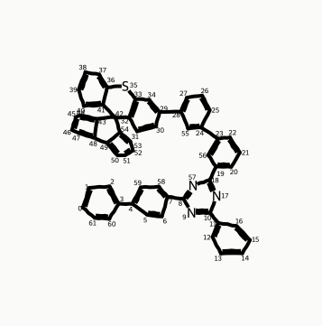 c1ccc(-c2ccc(-c3nc(-c4ccccc4)nc(-c4cccc(-c5cccc(-c6ccc7c(c6)Sc6ccccc6C76c7ccccc7-c7ccccc76)c5)c4)n3)cc2)cc1